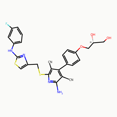 N#Cc1c(N)nc(SCc2csc(Nc3cccc(F)c3)n2)c(C#N)c1-c1ccc(OC[C@H](O)CO)cc1